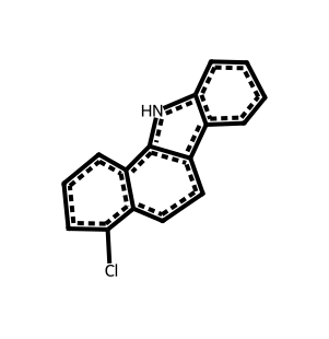 Clc1cccc2c1ccc1c3ccccc3[nH]c21